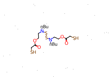 CCCCN(CCOC(=O)CS)SSN(CCCC)CCOC(=O)CS